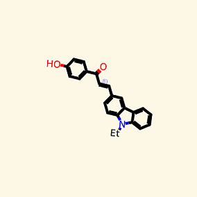 CCn1c2ccccc2c2cc(/C=C/C(=O)c3ccc(O)cc3)ccc21